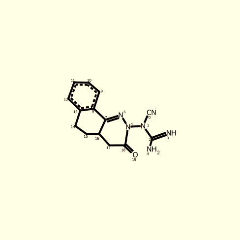 N#CN(C(=N)N)N1N=C2c3ccccc3CCC2CC1=O